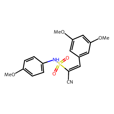 COc1ccc(NS(=O)(=O)/C(C#N)=C\c2cc(OC)cc(OC)c2)cc1